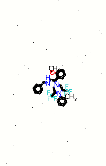 COc1ccccc1C(CNCc1ccccc1)N1CC(C(F)(F)F)N(c2ccccc2C)C(C(F)(F)F)C1